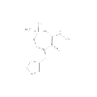 CNC1CC(C)(C)CCN(CC2CCCO2)C1=O